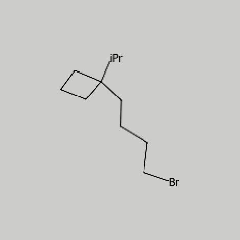 CC(C)C1(CCCCBr)CCC1